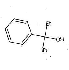 CCC(O)(c1ccccc1)C(C)C